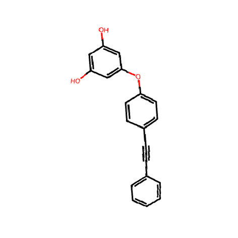 Oc1cc(O)cc(Oc2ccc(C#Cc3ccccc3)cc2)c1